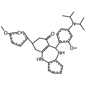 COc1ccc(C2CC(=O)C3=C(C2)Nc2ccccc2NC3c2ccc(N(C(C)C)C(C)C)cc2OC)cc1